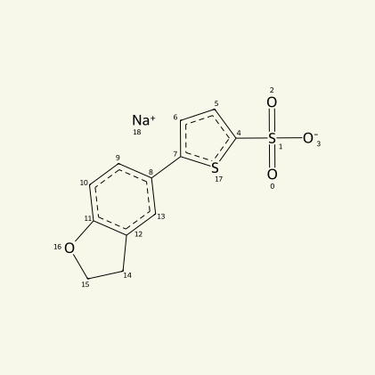 O=S(=O)([O-])c1ccc(-c2ccc3c(c2)CCO3)s1.[Na+]